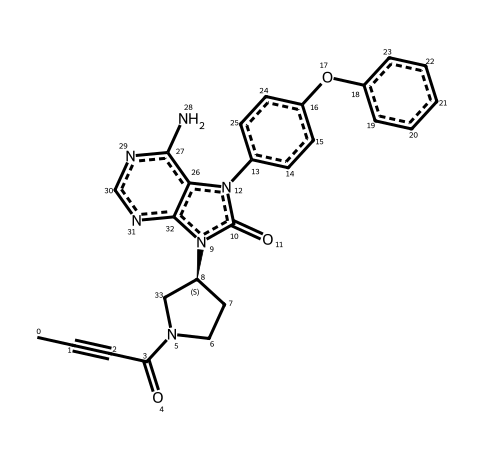 CC#CC(=O)N1CC[C@H](n2c(=O)n(-c3ccc(Oc4ccccc4)cc3)c3c(N)ncnc32)C1